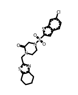 O=C1CN(S(=O)(=O)c2cc3ccc(Cl)cc3s2)CCN1Cc1nc2c(s1)CCCC2